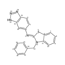 [c]1cc(/N=c2\sc3ccccc3n2Cc2ccccc2)cc2[nH]nnc12